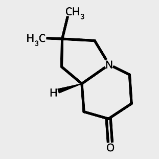 CC1(C)C[C@H]2CC(=O)CCN2C1